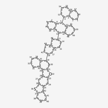 c1ccc2c(-c3c4ccccc4c(-c4ccc5cc(-c6cc7oc8cc9c(cc8c7c7ccccc67)sc6ccccc69)ccc5c4)c4ccccc34)cccc2c1